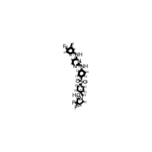 Cc1cc(Nc2ccnc(Nc3ccc(S(=O)(=O)N4CCC(O)(CN5CCC(F)(F)C5)CC4)cc3)n2)ccc1F